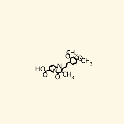 COc1ccc(/C=C/c2nc3ccc(C(=O)O)cn3c(=O)c2C)c(OC)c1